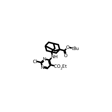 CCOC(=O)c1cnc(Cl)nc1NC12CC3CC(C1)CC(C(=O)OC(C)(C)C)(C3)C2